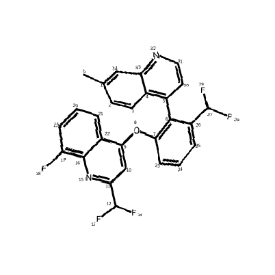 Cc1ccc2c(-c3c(Oc4cc(C(F)F)nc5c(F)cccc45)cccc3C(F)F)ccnc2c1